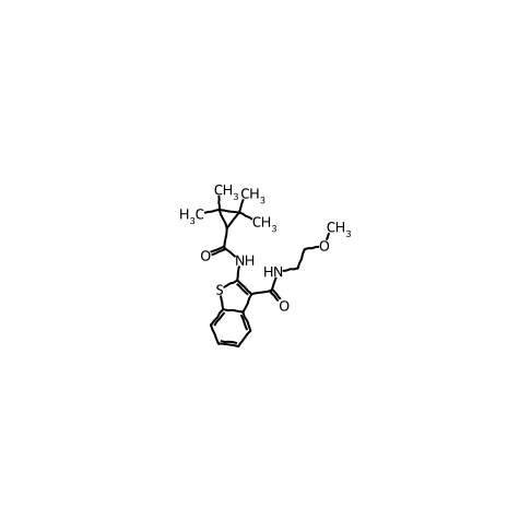 COCCNC(=O)c1c(NC(=O)C2C(C)(C)C2(C)C)sc2ccccc12